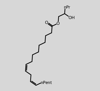 CCCCC/C=C\C/C=C\CCCCCCCC(=O)OCC(O)CCC